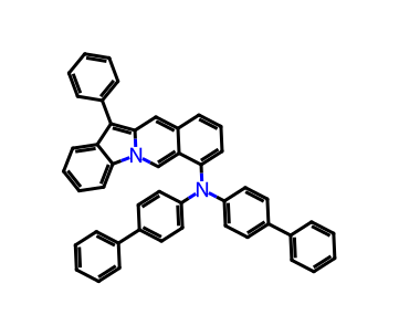 c1ccc(-c2ccc(N(c3ccc(-c4ccccc4)cc3)c3cccc4cc5c(-c6ccccc6)c6ccccc6n5cc34)cc2)cc1